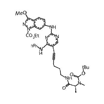 CCCNc1nc(Nc2ccc3c(OC)nn(C(=O)OCC)c3c2)ncc1C#CCCCNC(=O)[C@H](C)N(C)C(=O)OC(C)(C)C